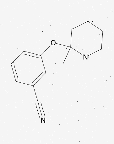 CC1(Oc2cccc(C#N)c2)CCCC[N]1